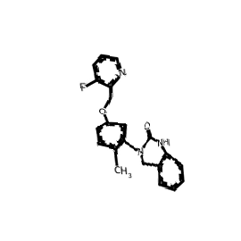 Cc1ccc(OCc2ncccc2F)cc1N1Cc2ccccc2NC1=O